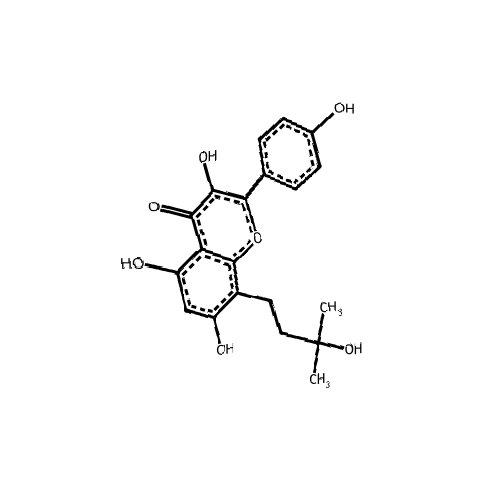 CC(C)(O)CCc1c(O)cc(O)c2c(=O)c(O)c(-c3ccc(O)cc3)oc12